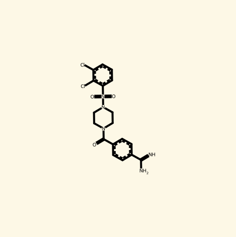 N=C(N)c1ccc(C(=O)N2CCN(S(=O)(=O)c3cccc(Cl)c3Cl)CC2)cc1